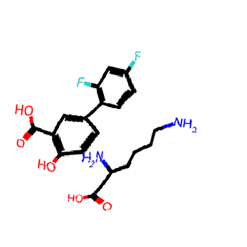 NCCCCC(N)C(=O)O.O=C(O)c1cc(-c2ccc(F)cc2F)ccc1O